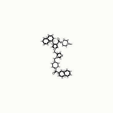 CN1CCN(C(=O)c2cn(Cc3cncn3CC3CCN(C(=O)c4ccc5ccccc5c4)CC3)cc2-c2cccc3ccccc23)CC1